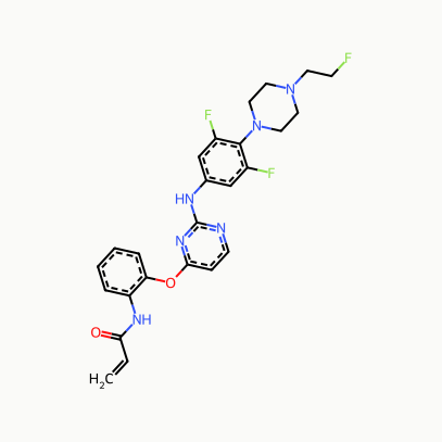 C=CC(=O)Nc1ccccc1Oc1ccnc(Nc2cc(F)c(N3CCN(CCF)CC3)c(F)c2)n1